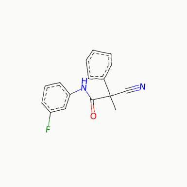 CC(C#N)(C(=O)Nc1cccc(F)c1)c1ccccc1